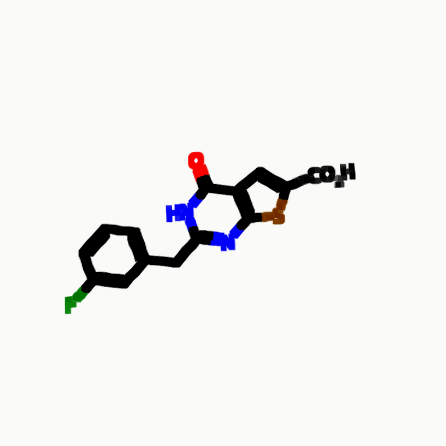 O=C(O)c1cc2c(=O)[nH]c(Cc3cccc(F)c3)nc2s1